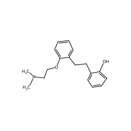 CN(C)CCOc1ccccc1CCc1ccccc1O